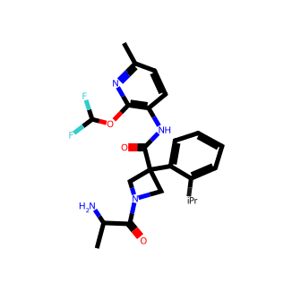 Cc1ccc(NC(=O)C2(c3ccccc3C(C)C)CN(C(=O)C(C)N)C2)c(OC(F)F)n1